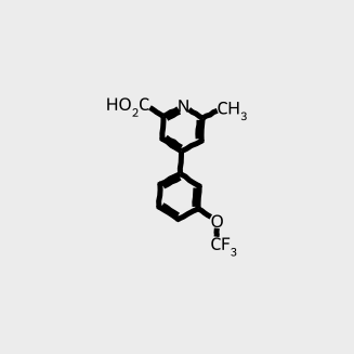 Cc1cc(-c2cccc(OC(F)(F)F)c2)cc(C(=O)O)n1